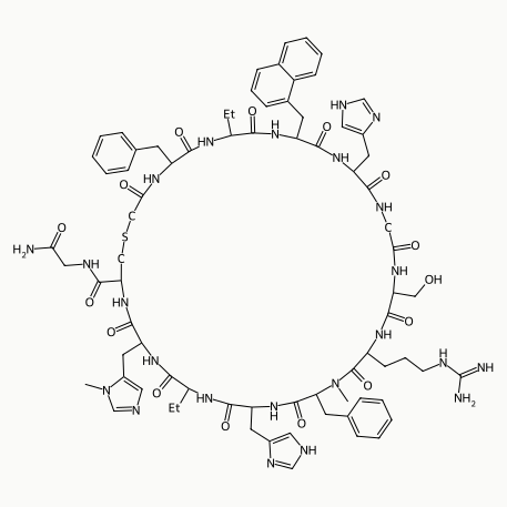 CCC1NC(=O)C(Cc2ccccc2)NC(=O)CSCC(C(=O)NCC(N)=O)NC(=O)C(Cc2cncn2C)NC(=O)C(CC)NC(=O)C(Cc2c[nH]cn2)NC(=O)C(Cc2ccccc2)N(C)C(=O)C(CCCNC(=N)N)NC(=O)C(CO)NC(=O)CNC(=O)C(Cc2c[nH]cn2)NC(=O)C(Cc2cccc3ccccc23)NC1=O